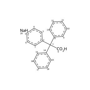 O=C(O)C(c1ccccc1)(c1ccccc1)c1ccccc1.[NaH]